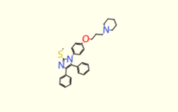 CSc1nc(-c2ccccc2)c(-c2ccccc2)n1-c1ccc(OCCCN2CCCCC2)cc1